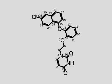 O=c1ccn(CCOc2ccccc2Oc2cccc3cc(Cl)ccc23)c(=O)[nH]1